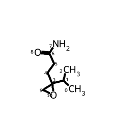 CC(C)C1(CCC(N)=O)CO1